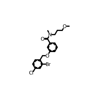 COCCCN(C)C(=O)c1cccc(OCc2ccc(Cl)cc2Br)c1